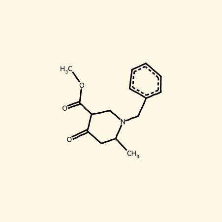 COC(=O)C1CN(Cc2ccccc2)C(C)CC1=O